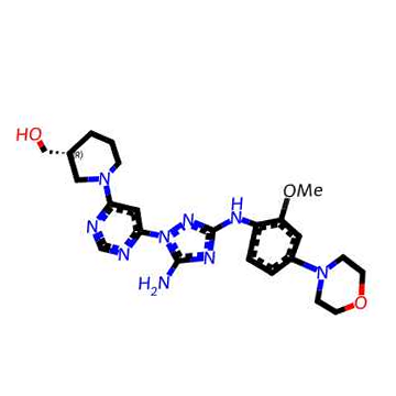 COc1cc(N2CCOCC2)ccc1Nc1nc(N)n(-c2cc(N3CCC[C@@H](CO)C3)ncn2)n1